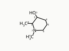 CC1C(O)CCCN1C